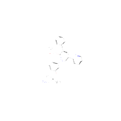 CC(C)C(CN)(Oc1cccc(N2C=C(c3ccccn3)C=C(c3ccccc3C#N)C2O)c1)C(C)C